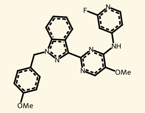 COc1ccc(Cn2nc(-c3ncc(OC)c(Nc4ccnc(F)c4)n3)c3ccccc32)cc1